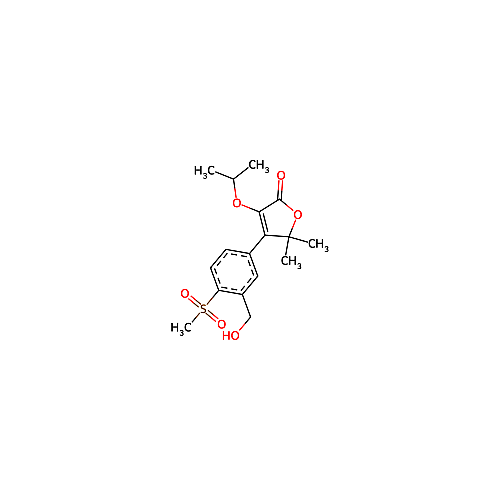 CC(C)OC1=C(c2ccc(S(C)(=O)=O)c(CO)c2)C(C)(C)OC1=O